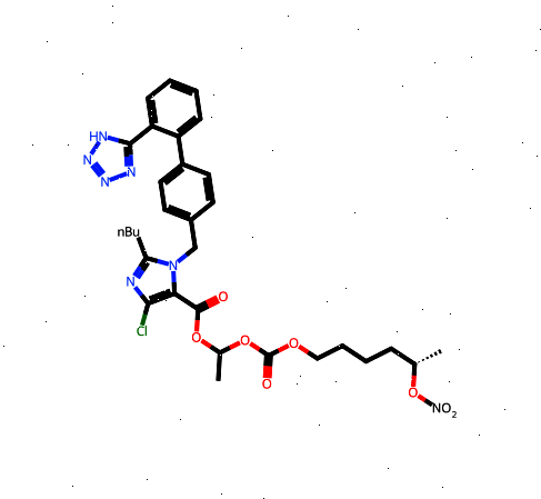 CCCCc1nc(Cl)c(C(=O)OC(C)OC(=O)OCCCC[C@H](C)O[N+](=O)[O-])n1Cc1ccc(-c2ccccc2-c2nnn[nH]2)cc1